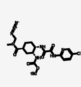 CN(CN=[N+]=[N-])C(=O)[C@H]1CC[C@H](NC(=O)C(=O)Nc2ccc(Cl)cn2)[C@H](NC(=O)OC(C)(C)C)C1